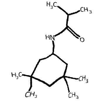 CC(C)C(=O)NC1CC(C)(C)CC(C)(C)C1